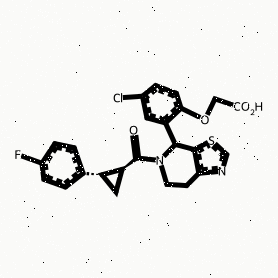 O=C(O)COc1ccc(Cl)cc1C1c2scnc2CCN1C(=O)[C@H]1C[C@@H]1c1ccc(F)cc1